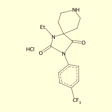 CCN1C(=O)N(c2ccc(C(F)(F)F)cc2)C(=O)C12CCNCC2.Cl